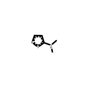 C[SH](C)c1ccns1